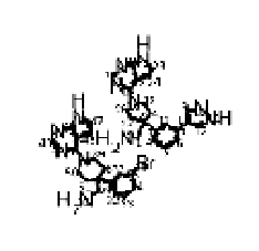 NCC1(c2cccc(-c3cn[nH]c3)c2)CCN(c2ncnc3[nH]ccc23)CC1.NCC1(c2cccc(Br)c2)CCN(c2ncnc3[nH]ccc23)CC1